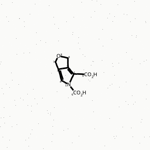 O=C(O)c1c2c(cn1C(=O)O)COC2